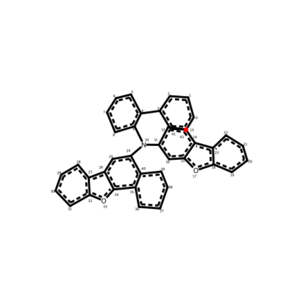 c1ccc(-c2ccccc2N(c2ccc3c(c2)oc2ccccc23)c2cc3c4ccccc4oc3c3ccccc23)cc1